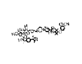 Cc1ncsc1-c1ccc([C@H](C)NC(=O)[C@@H]2C[C@@H](O)CN2C(=O)[C@@H](NC(=O)COCCN2CCCN(c3ccc(C(=O)NC4C(C)(C)C(Oc5ccc(C#N)c(Cl)c5)C4(C)C)cn3)CC2)C(C)(C)C)cc1